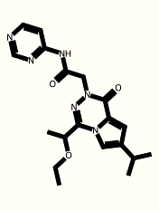 CCOC(C)c1nn(CC(=O)Nc2ccncn2)c(=O)c2cc(C(C)C)cn12